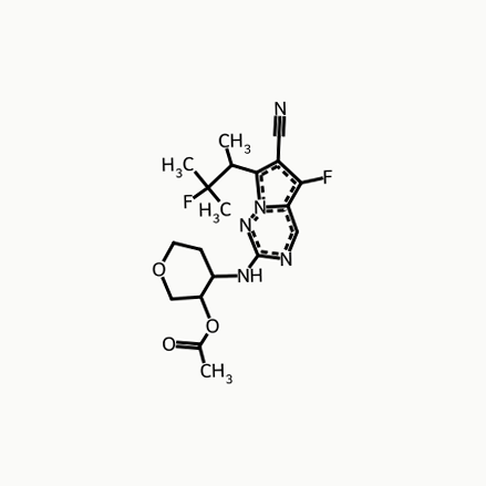 CC(=O)OC1COCCC1Nc1ncc2c(F)c(C#N)c(C(C)C(C)(C)F)n2n1